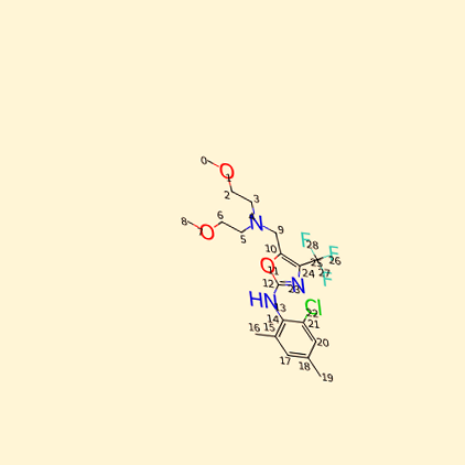 COCCN(CCOC)Cc1oc(Nc2c(C)cc(C)cc2Cl)nc1C(F)(F)F